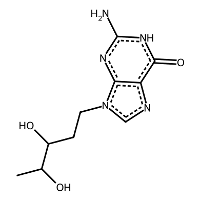 CC(O)C(O)CCn1cnc2c(=O)[nH]c(N)nc21